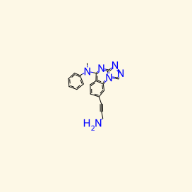 CN(c1ccccc1)c1nc2nncn2c2cc(C#CCN)ccc12